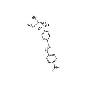 CC(C)C(NS(=O)(=O)c1ccc(N=Nc2ccc(N(C)C)cc2)cc1)C(=O)O